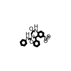 O=C1CN(C(=O)Nc2ccccc2)C(c2ccccc2)c2cc([N+](=O)[O-])ccc2N1